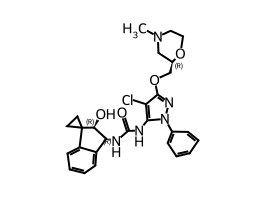 CN1CCO[C@@H](COc2nn(-c3ccccc3)c(NC(=O)N[C@@H]3c4ccccc4C4(CC4)[C@H]3O)c2Cl)C1